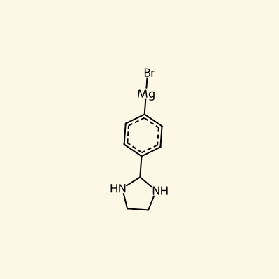 [Br][Mg][c]1ccc(C2NCCN2)cc1